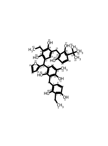 CCc1c(O)ccc(Cc2c(O)c(C)cc(C(c3ccco3)c3cc(Cc4c(O)ccc(C(C)(C)C)c4O)c(O)c(CC)c3O)c2O)c1O